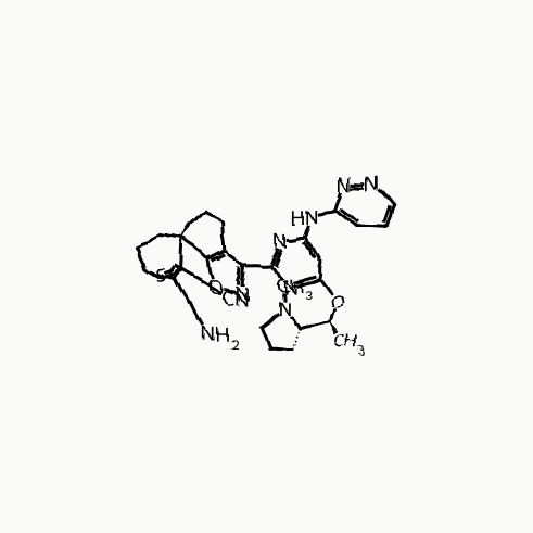 C[C@H](Oc1cc(Nc2cccnn2)nc(-c2noc3c2CCC[C@@]32CCCc3sc(N)c(C#N)c32)n1)[C@@H]1CCCN1C